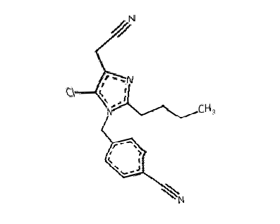 CCCCc1nc(CC#N)c(Cl)n1Cc1ccc(C#N)cc1